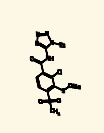 CCn1nnnc1NC(=O)c1ccc(S(C)(=O)=O)c(SOC)c1Cl